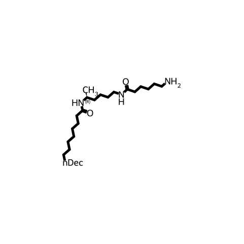 CCCCCCCCCCCCCCCCCC(=O)N[C@H](C)CCCCNC(=O)CCCCCN